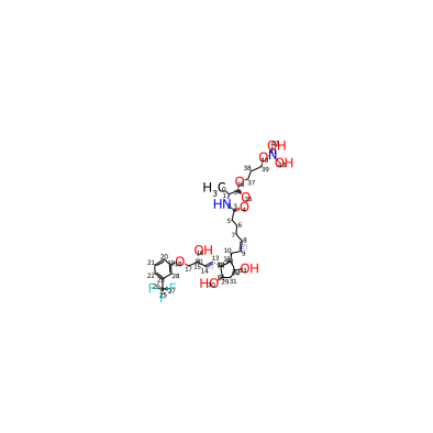 CC(NC(=O)CCC/C=C\C[C@@H]1[C@@H](/C=C/[C@@H](O)COc2cccc(C(F)(F)F)c2)[C@H](O)C[C@@H]1O)C(=O)OCCCON(O)O